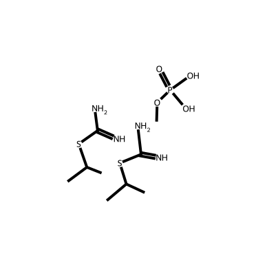 CC(C)SC(=N)N.CC(C)SC(=N)N.COP(=O)(O)O